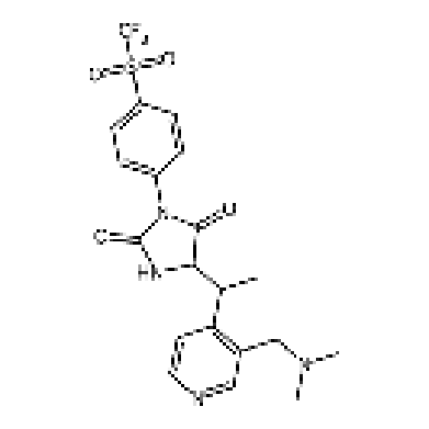 CC(c1ccncc1CN(C)C)C1NC(=O)N(c2ccc(S(=O)(=O)C(F)(F)F)cc2)C1=O